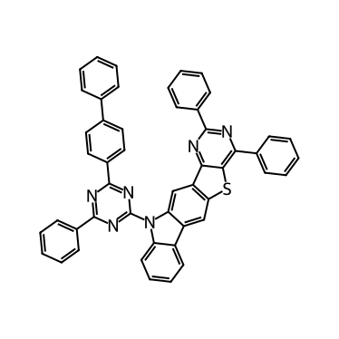 c1ccc(-c2ccc(-c3nc(-c4ccccc4)nc(-n4c5ccccc5c5cc6sc7c(-c8ccccc8)nc(-c8ccccc8)nc7c6cc54)n3)cc2)cc1